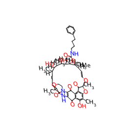 CO[C@H]1/C=C/O[C@@]2(C)Oc3c(C)c(O)c4c(c3C2=O)C(=O)C(N2CCOCC2)=C(NC(=O)/C(C)=C\C=C\[C@H](C)[C@H](O)[C@@H](C)[C@@H](O)[C@@H](C)[C@H](OC(=O)NCCCCc2ccccc2)[C@@H]1C)C4=O